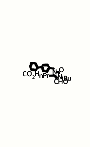 CCCc1c(C=O)n(C(C)CC)c(=O)n1Cc1ccc(-c2ccccc2C(=O)O)cc1